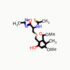 COC(=O)c1c(C)c(OC)cc(O)c1CSCC(NC(C)=S)c1nc(C)no1